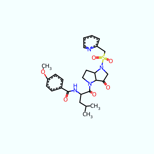 COc1ccc(C(=O)NC(CC(C)C)C(=O)N2CCC3C2C(=O)CN3S(=O)(=O)Cc2ccccn2)cc1